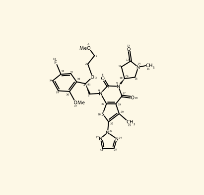 COCCO[C@@H](Cn1c(=O)n([C@H]2CC(=O)N(C)C2)c(=O)c2c(C)c(-n3nccn3)sc21)c1cc(F)ccc1OC